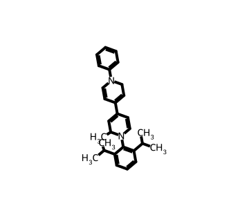 CC(C)c1cccc(C(C)C)c1N1C=CC(C2=CCN(c3ccccc3)C=C2)=CC1C